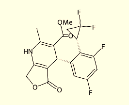 COC(=O)C1=C(C)NC2=C(C(=O)OC2)[C@H]1c1cc(F)cc(F)c1[C@@H]1CC1(F)F